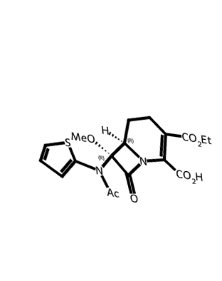 CCOC(=O)C1=C(C(=O)O)N2C(=O)[C@@](OC)(N(C(C)=O)c3cccs3)[C@H]2CC1